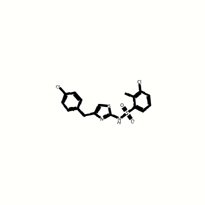 Cc1c(Cl)cccc1S(=O)(=O)Nc1nc(Cc2ccc(Cl)cc2)cs1